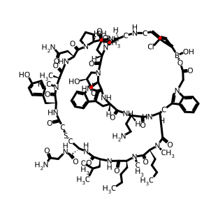 CCCC[C@H]1C(=O)N(C)[C@@H](CCCC)C(=O)N[C@@H](CC(C)C)C(=O)N[C@H](C(=O)NCC(N)=O)CSCC(=O)N[C@@H](Cc2ccc(O)cc2)C(=O)N(C)[C@@H](C)C(=O)N[C@@H](CC(N)=O)C(=O)N2CCC[C@H]2C(=O)N[C@H]2CNCc3ccc(cc3Cl)B(O)OC(=O)Cn3cc(c4ccccc43)C[C@H](NC(=O)[C@H](CCN)NC(=O)[C@H](Cc3c[nH]c4ccccc34)NC(=O)[C@@H]3C[C@@H](O)CN3C(=O)[C@H](CC(C)C)NC2=O)C(=O)N1C